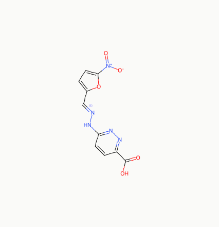 O=C(O)c1ccc(N/N=C/c2ccc([N+](=O)[O-])o2)nn1